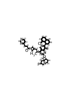 CN(CC1CN(C(=O)/C=C/c2ccncn2)C1)c1nc(OC[C@@]23CCCN2C[C@H](F)C3)nc2c(F)c(-c3cccc4cccc(Cl)c34)ncc12